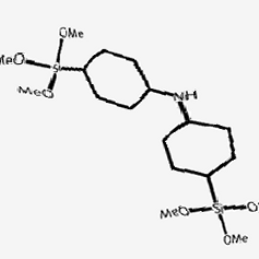 CO[Si](OC)(OC)C1CCC(NC2CCC([Si](OC)(OC)OC)CC2)CC1